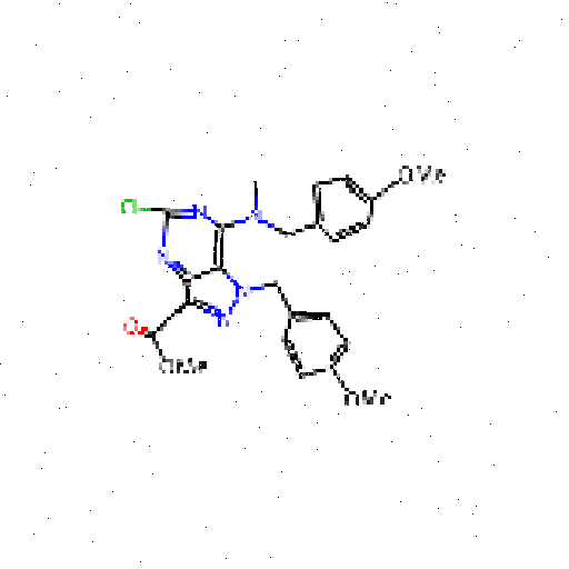 COC(=O)c1nn(Cc2ccc(OC)cc2)c2c(N(C)Cc3ccc(OC)cc3)nc(Cl)nc12